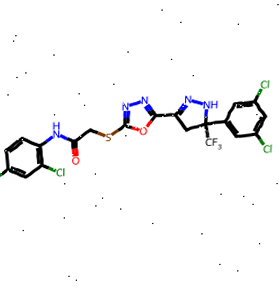 O=C(CSc1nnc(C2=NNC(c3cc(Cl)cc(Cl)c3)(C(F)(F)F)C2)o1)Nc1ccc(F)cc1Cl